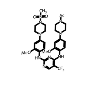 COc1cc(N2CCN(S(C)(=O)=O)CC2)ccc1Nc1ncc(C(F)(F)F)c(Nc2ccc(N3CCN(C(C)=O)CC3)cc2OC)n1